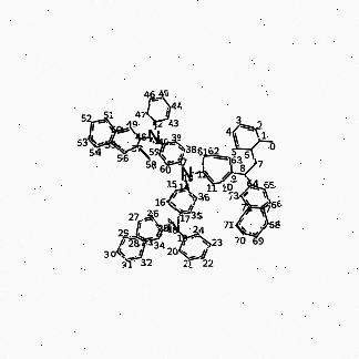 CC1C=CC=CC1CC(C1=CC=C(N(c2ccc(N(c3ccccc3)c3ccc4ccccc4c3)cc2)c2ccc(N(C3C=CC=CC3)C3C=c4ccccc4=CC3C)cc2)CC=C1)c1ccc2ccccc2c1